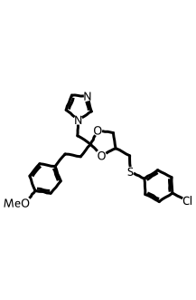 COc1ccc(CCC2(Cn3ccnc3)OCC(CSc3ccc(Cl)cc3)O2)cc1